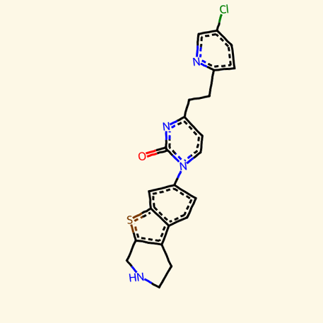 O=c1nc(CCc2ccc(Cl)cn2)ccn1-c1ccc2c3c(sc2c1)CNCC3